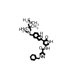 CCN(Cc1ccc2[nH]c(-c3cc(NC(=O)c4cnn(CC5=CCCC=C5)c4)c[nH]c3=O)cc2c1)CC(C)(C)CN(C)C